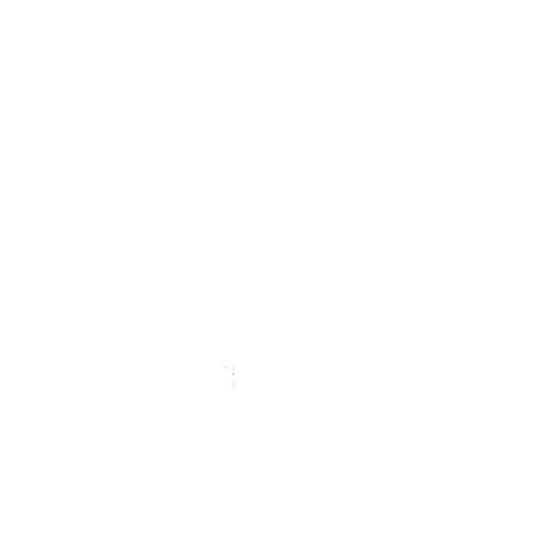 Clc1ccc(COC2CNC2)cc1Cl